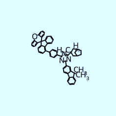 CC1(c2nc(-c3ccc(-c4cccc5c4-c4ccccc4C54c5ccccc5Oc5ccccc54)cc3)nc(-c3ccc4c(c3)C(C)(C)c3ccccc3-4)n2)CC2CC[C@H](C2)C1